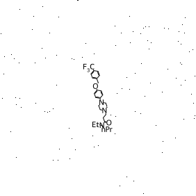 CCCN(CC)C(=O)CCN1CCN(c2ccc(OCc3ccc(C(F)(F)F)cc3)cc2)CC1